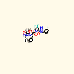 Cc1noc(C)c1C(=O)N[C@@H](Cc1ccccc1)[C@H](O)C(=O)N1CC(F)(F)C[C@H]1C(=O)NCc1cccc(F)c1